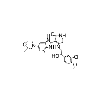 COc1ccc(C(O)CNc2cc[nH]c(=O)c2-c2nc3c(C)cc(N4CCOC(C)C4)cc3[nH]2)cc1Cl